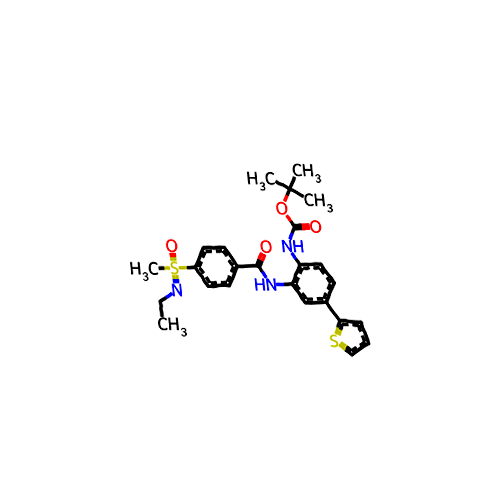 CCN=S(C)(=O)c1ccc(C(=O)Nc2cc(-c3cccs3)ccc2NC(=O)OC(C)(C)C)cc1